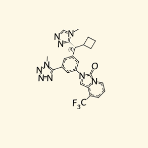 Cn1cnnc1[C@@H](c1cc(-c2nnnn2C)cc(-n2cc3c(C(F)(F)F)cccn3c2=O)c1)C1CCC1